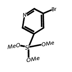 CO[Si](OC)(OC)c1cncc(Br)c1